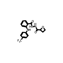 O=C(NNC(=O)C1CCO1)c1ccccc1Nc1ccc(C(F)(F)F)cc1